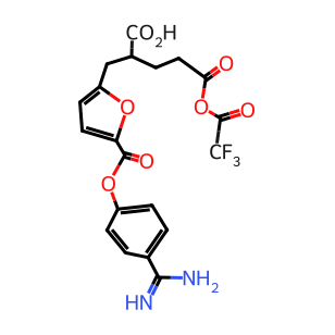 N=C(N)c1ccc(OC(=O)c2ccc(CC(CCC(=O)OC(=O)C(F)(F)F)C(=O)O)o2)cc1